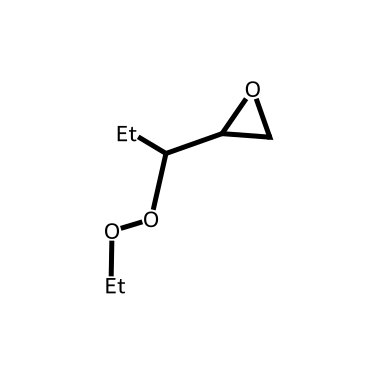 CCOOC(CC)C1CO1